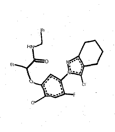 CCC(Oc1cc(-n2nc3c(c2Cl)CCCC3)c(F)cc1Cl)C(=O)NCC(C)C